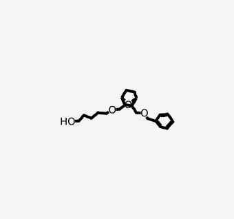 OCCCCCOCC1C2CCC(O2)C1COCc1ccccc1